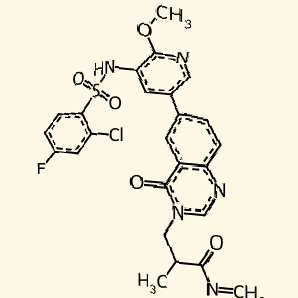 C=NC(=O)C(C)Cn1cnc2ccc(-c3cnc(OC)c(NS(=O)(=O)c4ccc(F)cc4Cl)c3)cc2c1=O